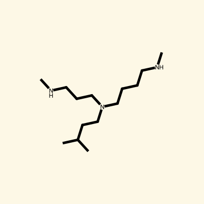 CNCCCCN(CCCNC)CCC(C)C